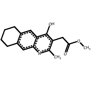 COC(=O)Cc1c(C)nc2cc3c(cc2c1O)CCCC3